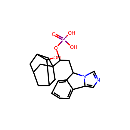 O=P(O)(O)OC(CC1c2ccccc2-c2cncn21)C12CC3CC(C1)C(O)C(C3)C2